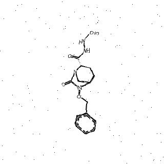 O=CNNC(=O)[C@@H]1CCC2CN1C(=O)N2OCc1ccccc1